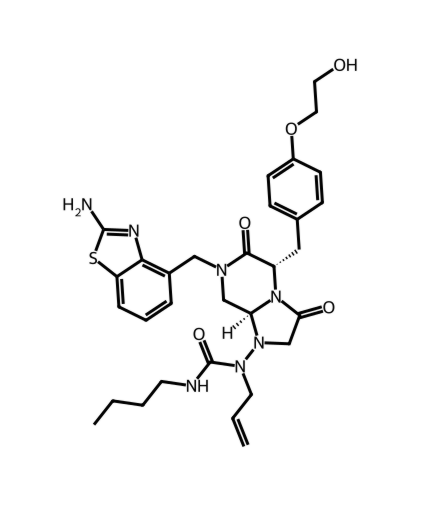 C=CCN(C(=O)NCCCC)N1CC(=O)N2[C@@H](Cc3ccc(OCCO)cc3)C(=O)N(Cc3cccc4sc(N)nc34)C[C@@H]21